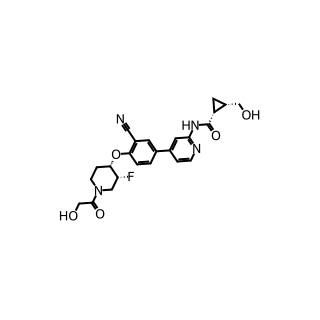 N#Cc1cc(-c2ccnc(NC(=O)[C@@H]3C[C@@H]3CO)c2)ccc1O[C@H]1CCN(C(=O)CO)C[C@H]1F